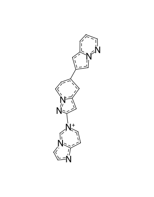 c1cnn2cc(-c3ccn4nc(-[n+]5ccc6nccn6c5)cc4c3)cc2c1